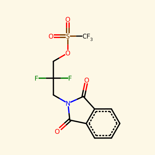 O=C1c2ccccc2C(=O)N1CC(F)(F)COS(=O)(=O)C(F)(F)F